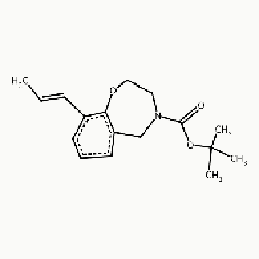 CC=Cc1cccc2c1OCCN(C(=O)OC(C)(C)C)C2